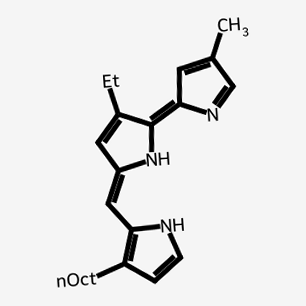 CCCCCCCCc1cc[nH]c1C=c1cc(CC)c(=C2C=C(C)C=N2)[nH]1